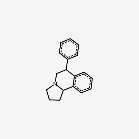 c1ccc(C2CN3CCCC3c3ccccc32)cc1